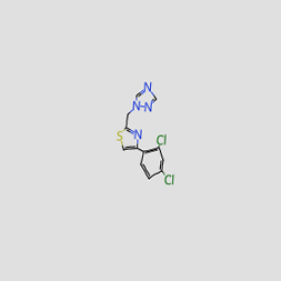 Clc1ccc(-c2csc(Cn3cncn3)n2)c(Cl)c1